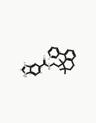 CC1(C)CCc2cccc(-c3cccnc3)c2C1(C)CCNC(=O)c1ccc2[nH]cnc2c1